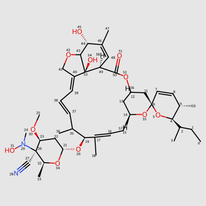 CCC(C)[C@H]1O[C@]2(C=C[C@@H]1C)C[C@@H]1C[C@@H](C/C=C(\C)[C@@H](O[C@H]3C[C@H](OC)[C@](C#N)(N(C)O)[C@H](C)O3)C(C)/C=C/C=C3\COC4[C@H](O)C(C)=C[C@@H](C(=O)O1)[C@]34O)O2